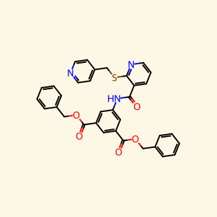 O=C(OCc1ccccc1)c1cc(NC(=O)c2cccnc2SCc2ccncc2)cc(C(=O)OCc2ccccc2)c1